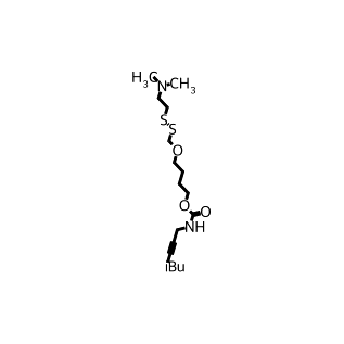 CCC(C)C#CCNC(=O)OCCCCOCSSCCN(C)C